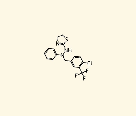 FC(F)(F)c1cc(CN(NC2=NCCS2)c2ccccc2)ccc1Cl